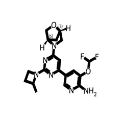 CC1CCN1c1nc(-c2cnc(N)c(OC(F)F)c2)cc(N2C[C@@H]3C[C@H]2CO3)n1